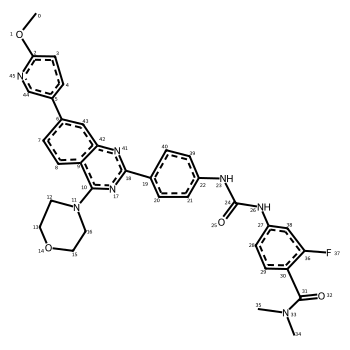 COc1ccc(-c2ccc3c(N4CCOCC4)nc(-c4ccc(NC(=O)Nc5ccc(C(=O)N(C)C)c(F)c5)cc4)nc3c2)cn1